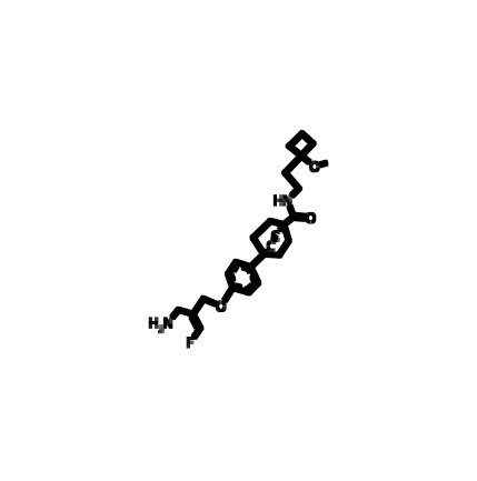 COC1(CCNC(=O)C23CCC(c4ccc(OCC(=CF)CN)cc4)(CC2)CC3)CCC1